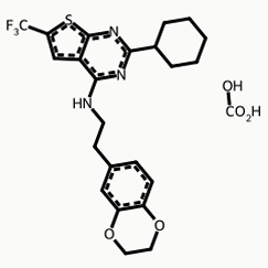 FC(F)(F)c1cc2c(NCCc3ccc4c(c3)OCCO4)nc(C3CCCCC3)nc2s1.O=C(O)O